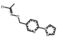 CC/C(C)=N/OCc1ccc(-n2cccn2)nc1